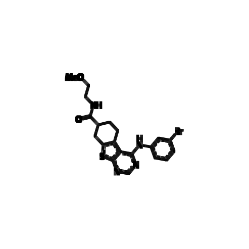 COCCNC(=O)C1CCc2c(sc3ncnc(Nc4cccc(Br)c4)c23)C1